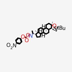 C/C(=N\OC(=O)Oc1ccc([N+](=O)[O-])cc1)[C@H]1CC[C@H]2[C@@H]3CCC4C[C@](C)(O[Si](C)(C)C(C)(C)C)CC[C@]4(C)[C@H]3CC[C@]12C